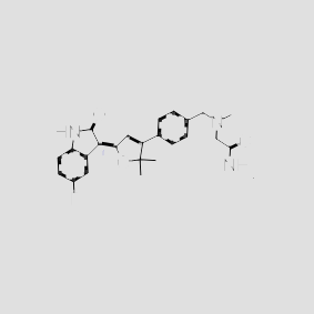 CN(CC(N)=O)Cc1ccc(C2=C/C(=C3\C(=O)Nc4ccc(F)cc43)OC2(C)C)cc1